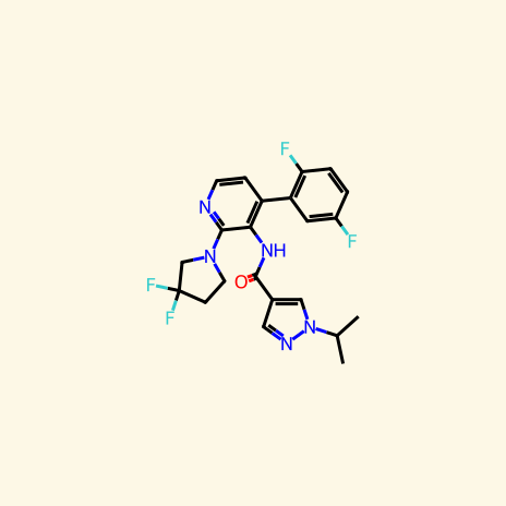 CC(C)n1cc(C(=O)Nc2c(-c3cc(F)ccc3F)ccnc2N2CCC(F)(F)C2)cn1